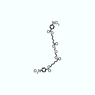 O=C(CCCCCOC(=O)c1ccc([N+](=O)[O-])cc1)OCCOCCOC(=O)CCCCCOC(=O)c1ccc([N+](=O)[O-])cc1